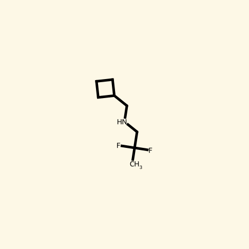 CC(F)(F)CNCC1CCC1